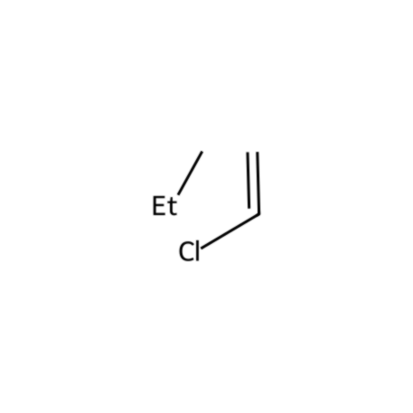 C=CCl.CCC